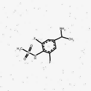 CC(N)c1cc(F)c(NS(C)(=O)=O)c(F)c1